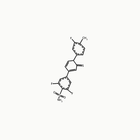 Cc1ccc(C2C=CC(c3cc(F)c(S(N)(=O)=O)c(F)c3)=CC2=S)cc1F